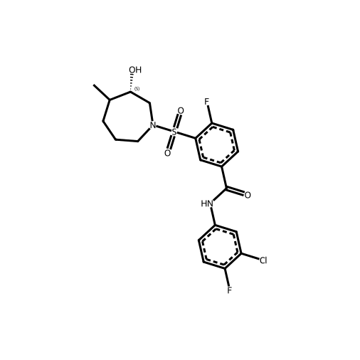 CC1CCCN(S(=O)(=O)c2cc(C(=O)Nc3ccc(F)c(Cl)c3)ccc2F)C[C@H]1O